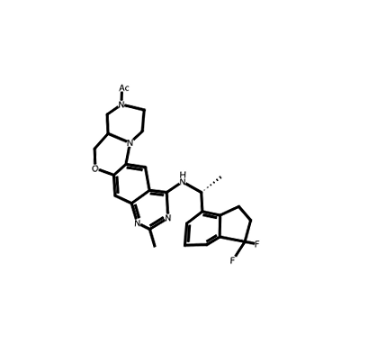 CC(=O)N1CCN2c3cc4c(N[C@H](C)c5cccc6c5CCC6(F)F)nc(C)nc4cc3OCC2C1